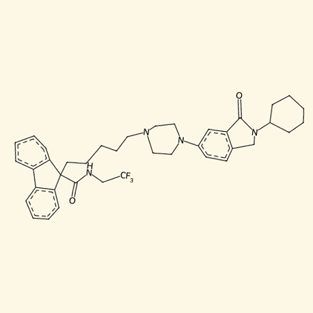 O=C1c2cc(N3CCN(CCCCCC4(C(=O)NCC(F)(F)F)c5ccccc5-c5ccccc54)CC3)ccc2CN1C1CCCCC1